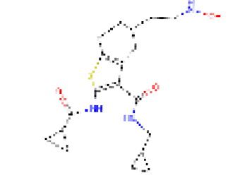 O=C(NCC1CC1)c1c(NC(=O)C2CC2)sc2c1CC(CCNO)CC2